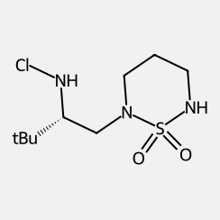 CC(C)(C)[C@@H](CN1CCCNS1(=O)=O)NCl